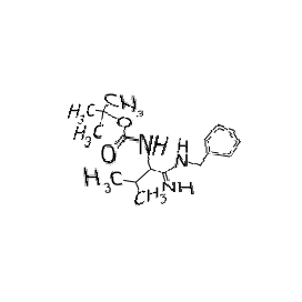 CC(C)C(NC(=O)OC(C)(C)C)C(=N)NCc1ccccc1